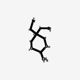 CC1OCC(CBr)(CBr)CO1